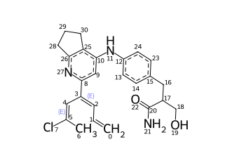 C=C/C=C(\C=C(/C)Cl)c1cc(Nc2ccc(CC(CO)C(N)=O)cc2)c2c(n1)CCC2